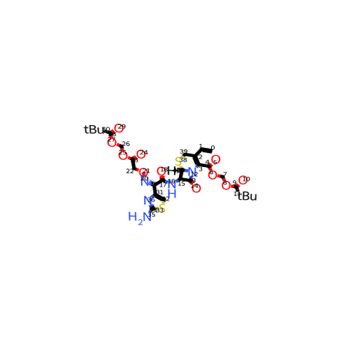 C=CC1=C(C(=O)OCOC(=O)C(C)(C)C)N2C(=O)C(NC(=O)/C(=N\OCC(=O)OCOC(=O)C(C)(C)C)c3csc(N)n3)[C@H]2SC1